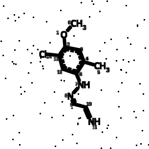 COc1cc(C)c(N/N=C\C=N)cc1Cl